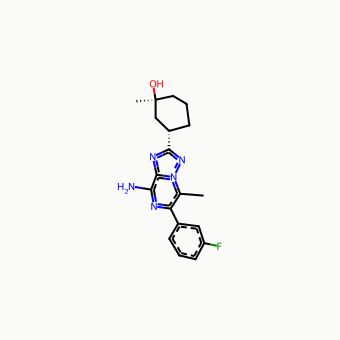 Cc1c(-c2cccc(F)c2)nc(N)c2nc([C@H]3CCC[C@](C)(O)C3)nn12